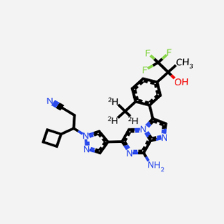 [2H]C([2H])([2H])c1ccc(C(C)(O)C(F)(F)F)cc1-c1cnc2c(N)nc(-c3cnn(C(CC#N)C4CCC4)c3)cn12